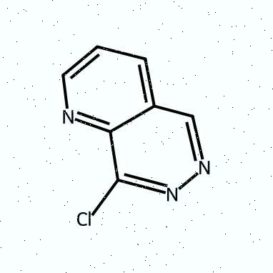 Clc1nncc2cccnc12